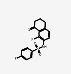 O=C1CCCc2ccc(NS(=O)(=O)c3ccc(F)cc3)c(Br)c21